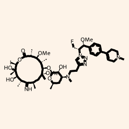 CO[C@H]1[C@H](C)[C@@H](O[C@@H]2O[C@H](C)C[C@H](N(C)CCc3cn([C@H](CF)[C@H](OC)c4ccc(C5=CCN(C)CC5)cc4)nn3)[C@H]2O)[C@](C)(OC)C[C@@H](C)C(=N)[C@H](C)[C@@H](O)[C@](C)(O)[C@@H](I)OC(=O)[C@@H]1C